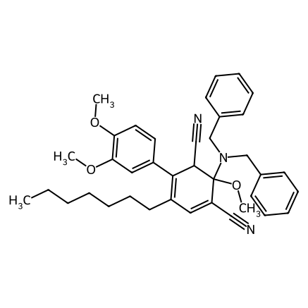 CCCCCCCC1=C(c2ccc(OC)c(OC)c2)C(C#N)C(OC)(N(Cc2ccccc2)Cc2ccccc2)C(C#N)=C1